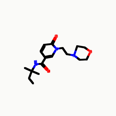 CCC(C)(C)NC(=O)c1ccc(=O)n(CCN2CCOCC2)c1